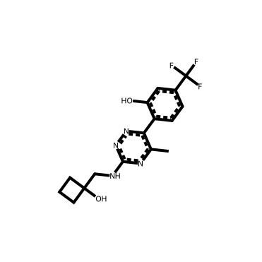 Cc1nc(NCC2(O)CCC2)nnc1-c1ccc(C(F)(F)F)cc1O